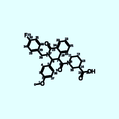 COc1ccc(C2C(C(=O)N3CCCC(C(=O)O)C3)c3ccccc3C(=O)N2Cc2ccc(F)cc2)cc1